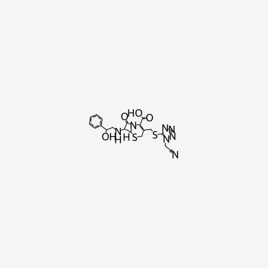 N#CCn1nnnc1SCC1=C(C(=O)O)N2C(=O)C(NCC(O)c3ccccc3)[C@@H]2SC1